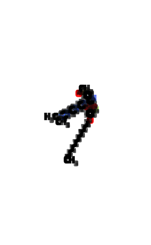 CCCCCCCCCCCCCCCCOc1ccc(S(=O)(=O)c2cnc3ccc([S+](C)[O-])cc3c2N2CCC(N3CCC(N4CCN(C(C)C)CC4)CC3)CC2)c(F)c1